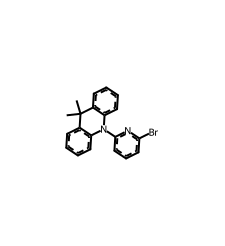 CC1(C)c2ccccc2N(c2cccc(Br)n2)c2ccccc21